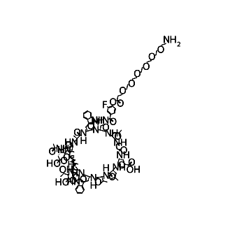 CC(=O)N[C@@H](CC(=O)O)C(=O)N[C@H]1CSSC[C@@H](C(=O)N[C@H](C(=O)O)[C@@H](C)O)NC(=O)[C@H](Cc2c[nH]c3ccccc23)NC(=O)[C@H](C(C)C)NC(=O)[C@H](CC(C)C)NC(=O)[C@H](CCC(=O)O)NC(=O)CNC(=O)[C@H](CC(C)C)NC(=O)[C@H](CCNC(=O)c2ccc(OC(=O)CCOCCOCCOCCOCCOCCOCCN)c(F)c2)NC(=O)[C@H](Cc2c[nH]c3ccccc23)NC(=O)[C@H](C)NC1=O